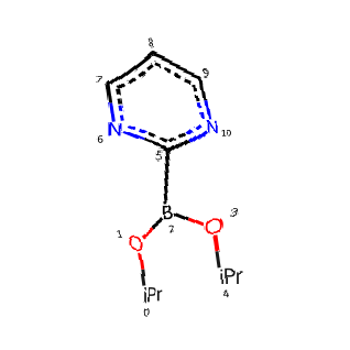 CC(C)OB(OC(C)C)c1ncccn1